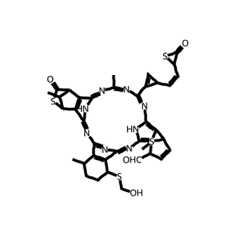 Cc1nc(C2=CC2/C=C\C2SC2=O)nc2[nH]c(nc3nc(nc4[nH]c(n1)c1c4C4SC(=O)C1C4C)C1=C3C(SCO)CCC1C)=S13(C)C=2C1C=CC3C=O